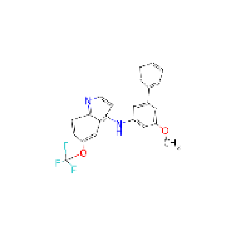 COc1cc(Nc2ccnc3ccc(OC(F)(F)F)cc23)cc(-c2ccccc2)c1